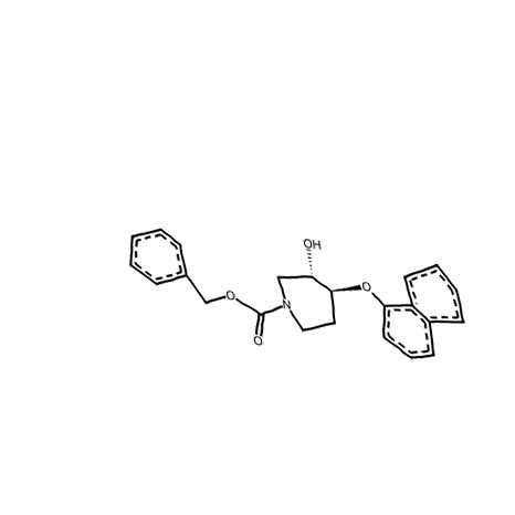 O=C(OCc1ccccc1)N1CC[C@H](Oc2cccc3ccccc23)[C@@H](O)C1